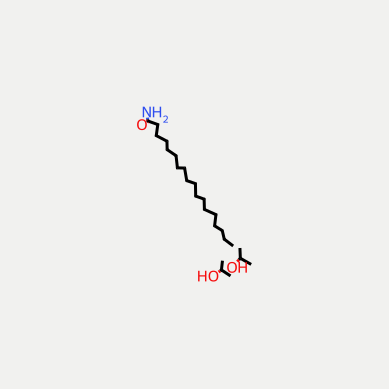 CC(C)O.CC(C)O.CCCCCCCCCCCCCCCCCC(N)=O